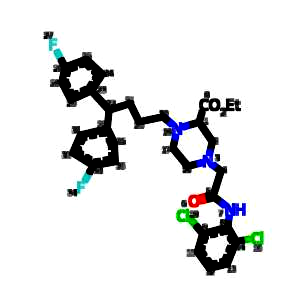 CCOC(=O)C1CN(CC(=O)Nc2c(Cl)cccc2Cl)CCN1CCCC(c1ccc(F)cc1)c1ccc(F)cc1